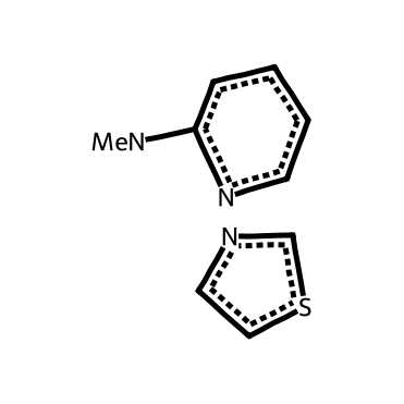 CNc1ccccn1.c1cscn1